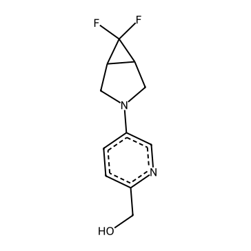 OCc1ccc(N2CC3C(C2)C3(F)F)cn1